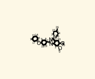 COc1cc2nc(-c3ccc(Oc4ccccc4)cc3)nc(N3CCC(C)CC3)c2cc1OC